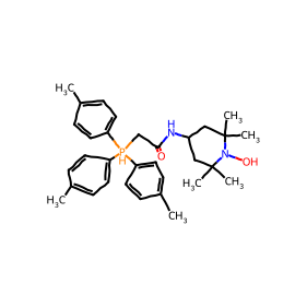 Cc1ccc([PH](CC(=O)NC2CC(C)(C)N(O)C(C)(C)C2)(c2ccc(C)cc2)c2ccc(C)cc2)cc1